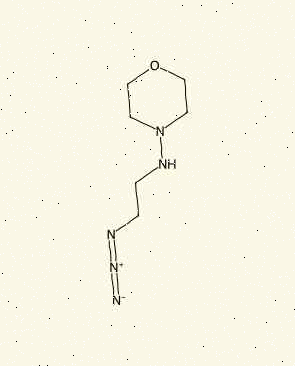 [N-]=[N+]=NCCNN1CCOCC1